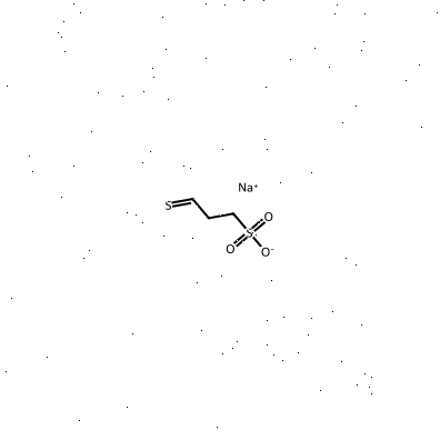 O=S(=O)([O-])CCC=S.[Na+]